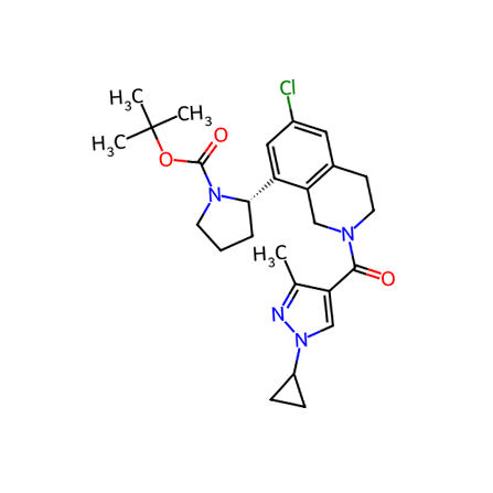 Cc1nn(C2CC2)cc1C(=O)N1CCc2cc(Cl)cc([C@@H]3CCCN3C(=O)OC(C)(C)C)c2C1